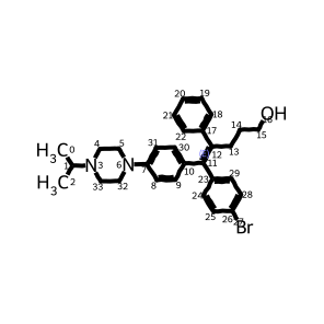 CC(C)N1CCN(c2ccc(/C(=C(/CCCO)c3ccccc3)c3ccc(Br)cc3)cc2)CC1